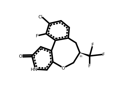 O=c1cc2c(c[nH]1)OC[C@H](C(F)(F)F)Cc1ccc(Cl)c(F)c1-2